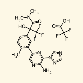 Cc1ccc(C(O)(C(=O)N(C)C)C(F)(F)F)cc1-c1cnc(N)c(-n2cncn2)n1.O=C(O)C(F)(F)F